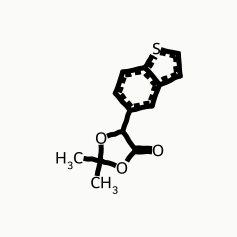 CC1(C)OC(=O)C(c2ccc3sccc3c2)O1